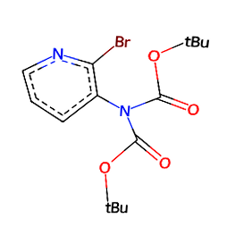 CC(C)(C)OC(=O)N(C(=O)OC(C)(C)C)c1cccnc1Br